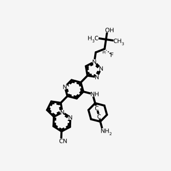 CC(C)(O)[C@H](F)Cn1cc(-c2cnc(-c3ccc4cc(C#N)cnn34)cc2NC23CCC(N)(CC2)CC3)nn1